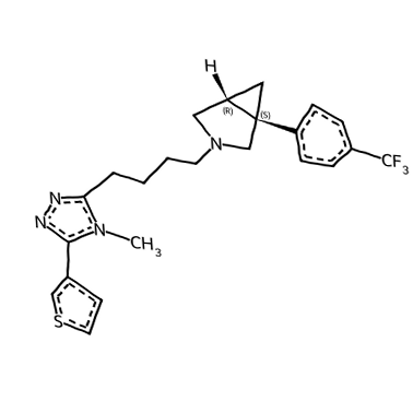 Cn1c(CCCCN2C[C@@H]3C[C@]3(c3ccc(C(F)(F)F)cc3)C2)nnc1-c1ccsc1